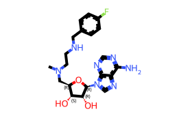 CN(CCNCc1ccc(F)cc1)C[C@H]1O[C@@H](n2cnc3c(N)ncnc32)[C@H](O)[C@@H]1O